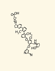 Cc1c(COc2cc(OCc3cncc(C#N)c3)c(CN[C@@H]3CCC[C@@H]3O)cc2Cl)cccc1-c1cccc(-c2ccc3c(c2)CCC3N2CC3(CC(C(=O)O)C3)C2)c1C